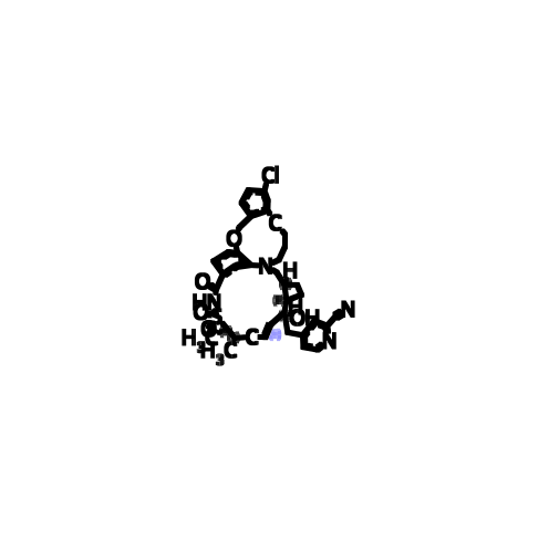 C[C@@H]1[C@@H](C)C/C=C/[C@](O)(Cc2ccnc(C#N)c2)[C@@H]2CC[C@H]2CN2CCCCc3cc(Cl)ccc3COc3ccc(cc32)C(=O)NS1(=O)=O